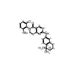 CC(C)(C)c1cccc(Cl)c1N1CSc2nc(Nc3ccc4c(c3)CCNC4(C)C)ncc2C1=O